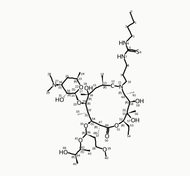 CCCCNC(=S)NCCCN1C[C@H](C)C[C@@](C)(O)[C@H](O[C@@H]2O[C@H](C)C[C@H](N(C)C)[C@H]2O)[C@@H](C)[C@H](O[C@@H](CCOC)O[C@@H](C)[C@@H](C)O)[C@@H](C)C(=O)O[C@H](CC)[C@@](C)(O)[C@H](O)[C@H]1C